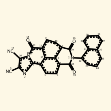 N#Cc1nc2c3ccc4c5c(ccc(c(=O)n2c1C#N)c53)C(=O)N(c1cccc2ccccc12)C4=O